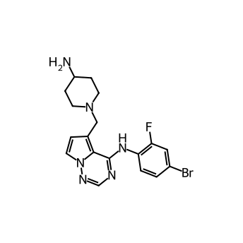 NC1CCN(Cc2ccn3ncnc(Nc4ccc(Br)cc4F)c23)CC1